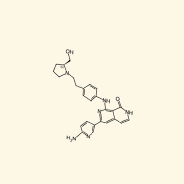 Nc1ccc(-c2cc3cc[nH]c(=O)c3c(Nc3ccc(CCN4CCC[C@H]4CO)cc3)n2)cn1